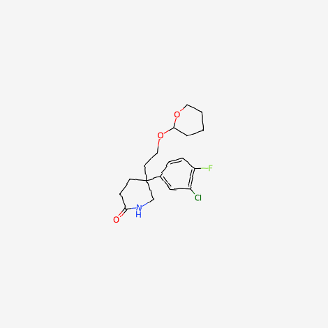 O=C1CCC(CCOC2CCCCO2)(c2ccc(F)c(Cl)c2)CN1